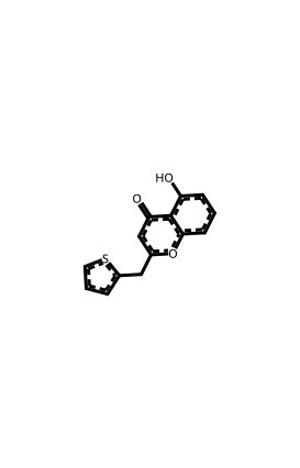 O=c1cc(Cc2cccs2)oc2cccc(O)c12